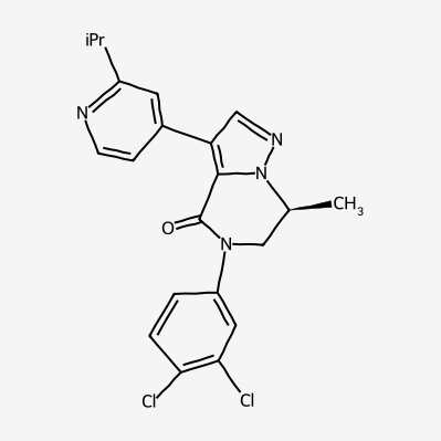 CC(C)c1cc(-c2cnn3c2C(=O)N(c2ccc(Cl)c(Cl)c2)C[C@@H]3C)ccn1